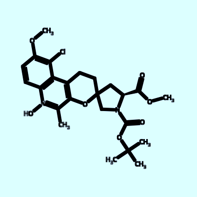 COC(=O)[C@@H]1CC2(CCc3c(c(C)[n+](O)c4ccc(OC)c(Cl)c34)O2)CN1C(=O)OC(C)(C)C